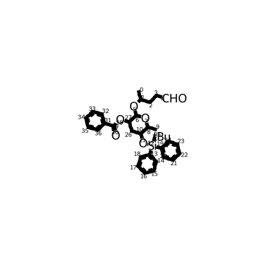 CC(CCC=O)OC1OC(C)C(O[Si](c2ccccc2)(c2ccccc2)C(C)(C)C)CC1OC(=O)c1ccccc1